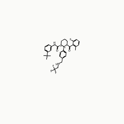 Cc1cccc(F)c1C(=O)N1CCC[C@H](C(=O)Nc2cccc(C(C)(C)C)c2)[C@@H]1c1ccc(CNCC(F)(F)F)cc1